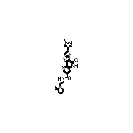 Cn1cc(-c2cn3nc4c5ncc(C(=O)NCCN6CCCC67CC7)cc5[nH]c(=O)c4c3s2)cn1